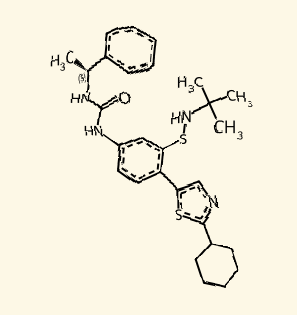 C[C@H](NC(=O)Nc1ccc(-c2cnc(C3CCCCC3)s2)c(SNC(C)(C)C)c1)c1ccccc1